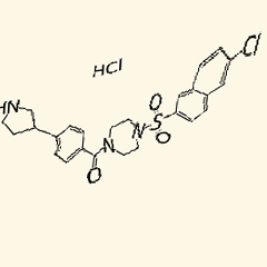 Cl.O=C(c1ccc(C2CCNC2)cc1)N1CCN(S(=O)(=O)c2ccc3cc(Cl)ccc3c2)CC1